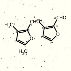 Cc1ccoc1C=O.Cc1ccoc1C=O.O